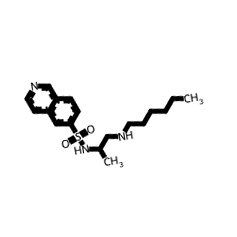 CCCCCCNCC(C)NS(=O)(=O)c1ccc2cnccc2c1